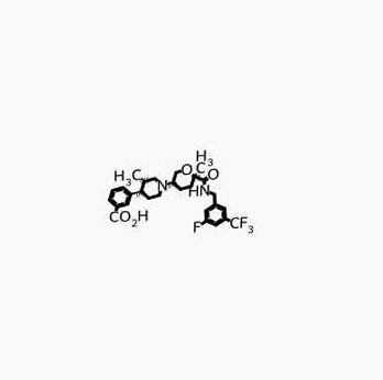 C[C@@H]1CN([C@@H]2CC[C@](C)(C(=O)NCc3cc(F)cc(C(F)(F)F)c3)OC2)CC[C@H]1c1cccc(C(=O)O)c1